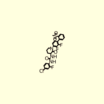 CS(=O)(=O)c1ccccc1-c1ccc(N2CCCC(NC(=O)Nc3ccc(Cl)cc3F)C2=O)c(F)c1F